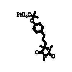 CCOC(=O)C(C)(C)Oc1ccc(CCCC2(C)C(=O)N(C)C(=O)N2C)cc1